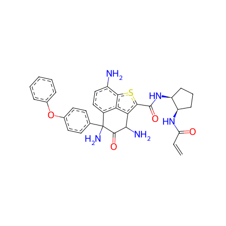 C=CC(=O)N[C@@H]1CCC[C@@H]1NC(=O)c1sc2c(N)ccc3c2c1C(N)C(=O)C3(N)c1ccc(Oc2ccccc2)cc1